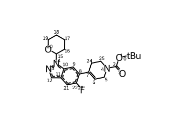 CC(C)(C)OC(=O)N1CC=C(c2cc3c(cnn3C3CCCCO3)cc2F)CC1